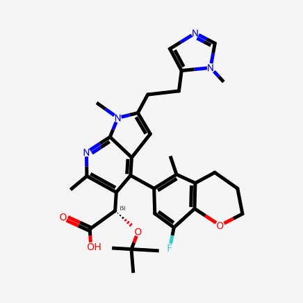 Cc1nc2c(cc(CCc3cncn3C)n2C)c(-c2cc(F)c3c(c2C)CCCO3)c1[C@H](OC(C)(C)C)C(=O)O